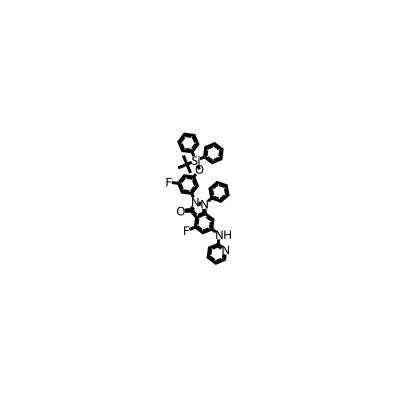 CC(C)(C)[Si](Oc1cc(F)cc(-n2c(=O)c3c(F)cc(Nc4ccccn4)cc3n2-c2ccccc2)c1)(c1ccccc1)c1ccccc1